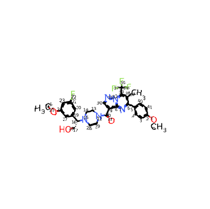 COc1ccc(-c2nc3c(C(=O)N4CCN([C@H](CO)c5cc(F)cc(OC)c5)CC4)cnn3c(C(F)(F)F)c2C)cc1